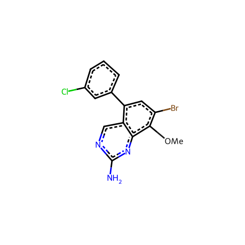 COc1c(Br)cc(-c2cccc(Cl)c2)c2cnc(N)nc12